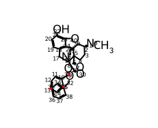 C/N=C1\CCC2(C(=O)OCc3ccccc3)C3Cc4ccc(O)c5c4C2(CCN3C(=O)OCc2ccccc2)C1O5